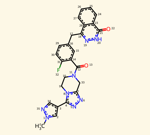 Cn1cc(-c2nnc3n2CCN(C(=O)c2cc(Cc4n[nH]c(=O)c5ccccc45)ccc2F)C3)cn1